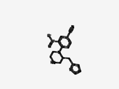 N#Cc1ccc(N2CCNCC2Cc2cccs2)c([N+](=O)[O-])c1